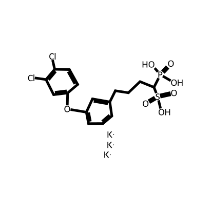 O=P(O)(O)C(CCCc1cccc(Oc2ccc(Cl)c(Cl)c2)c1)S(=O)(=O)O.[K].[K].[K]